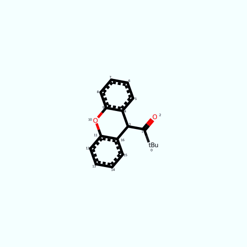 CC(C)(C)C(=O)C1c2ccccc2Oc2ccccc21